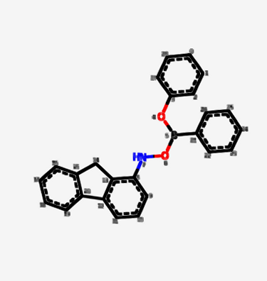 c1ccc(OB(ONc2cccc3c2Cc2ccccc2-3)c2ccccc2)cc1